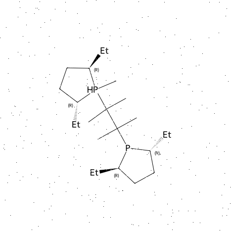 CC[C@@H]1CC[C@@H](CC)P1C(C)(C)C(C)(C)[PH]1(C)[C@H](CC)CC[C@H]1CC